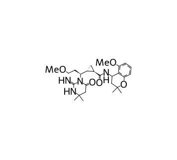 COCC[C@@H]([C@@H]1C[C@H]1C(=O)NC1CC(C)(C)Oc2cccc(OC)c21)N1C(=N)NC(C)(C)CC1=O